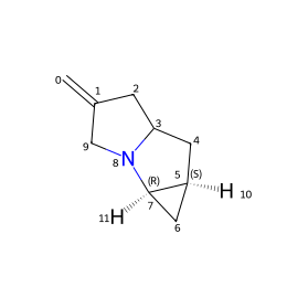 C=C1CC2C[C@H]3C[C@H]3N2C1